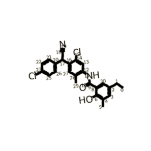 CCc1cc(C)c(O)c(C(=O)Nc2cc(Cl)c(C(C#N)c3ccc(Cl)cc3)cc2C)c1